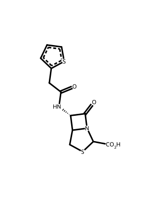 O=C(Cc1cccs1)N[C@@H]1C(=O)N2C(C(=O)O)SCC12